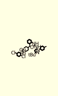 Cc1ccc(-n2nc(C(C)(C)C)cc2NC(=O)Nc2ccccc2CC2CCN(S(=O)(=O)c3cc(Cl)ccc3Cl)CC2)cc1